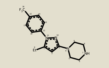 CCc1cc(N2CCNCC2)nn1-c1ccc(C(F)(F)F)cc1